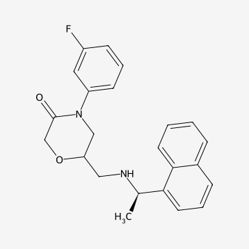 C[C@@H](NCC1CN(c2cccc(F)c2)C(=O)CO1)c1cccc2ccccc12